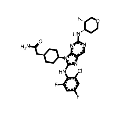 NC(=O)C[C@H]1CC[C@@H](n2c(Nc3c(F)cc(F)cc3Cl)nc3cnc(N[C@H]4CCOC[C@H]4F)nc32)CC1